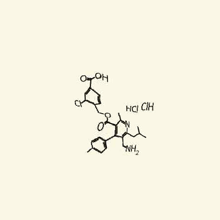 Cc1ccc(-c2c(CN)c(CC(C)C)nc(C)c2C(=O)OCc2ccc(C(=O)O)cc2Cl)cc1.Cl.Cl